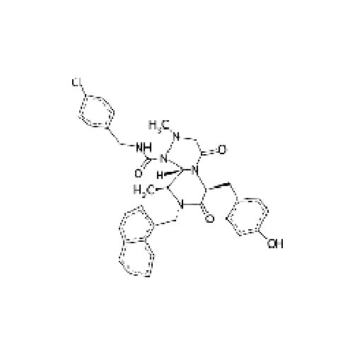 C[C@H]1[C@H]2N(C(=O)CN(C)N2C(=O)NCc2ccc(Cl)cc2)[C@@H](Cc2ccc(O)cc2)C(=O)N1Cc1cccc2ccccc12